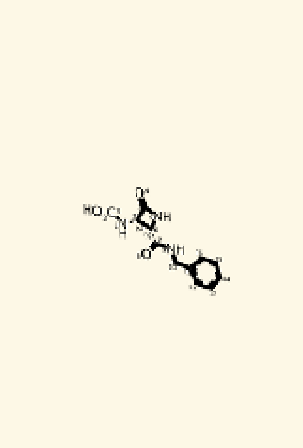 O=C(O)N[C@@H]1C(=O)N[C@@H]1C(=O)NCc1ccccc1